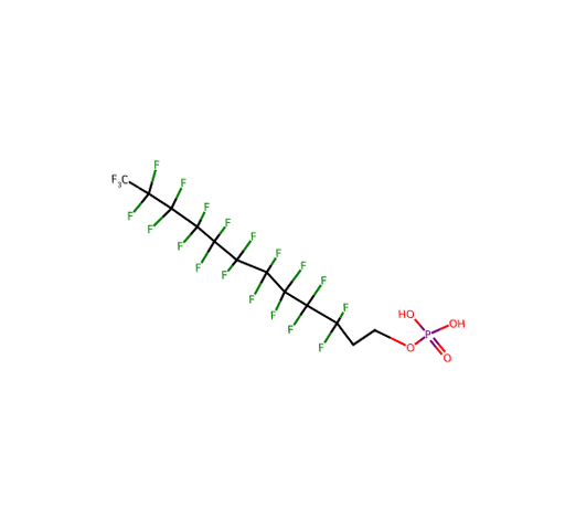 O=P(O)(O)OCCC(F)(F)C(F)(F)C(F)(F)C(F)(F)C(F)(F)C(F)(F)C(F)(F)C(F)(F)C(F)(F)C(F)(F)F